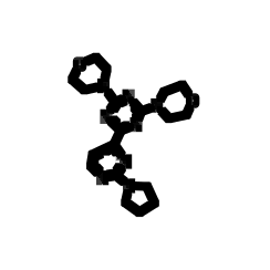 c1cc(-c2nc(N3CCOCC3)nc(N3CCOCC3)n2)nc(N2CCCC2)n1